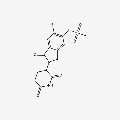 CS(=O)(=O)Oc1cc2c(cc1F)C(=O)N(C1CCC(=O)NC1=O)C2